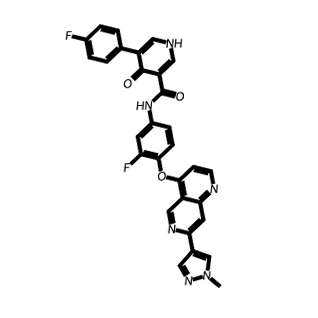 Cn1cc(-c2cc3nccc(Oc4ccc(NC(=O)c5c[nH]cc(-c6ccc(F)cc6)c5=O)cc4F)c3cn2)cn1